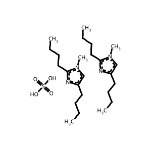 CCCCc1cn(C)c(CCCC)n1.CCCCc1cn(C)c(CCCC)n1.O=S(=O)(O)O